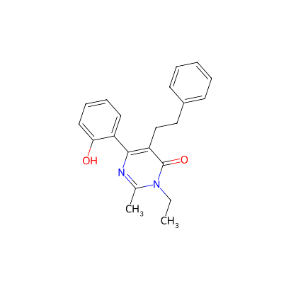 CCn1c(C)nc(-c2ccccc2O)c(CCc2ccccc2)c1=O